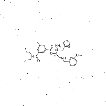 CCCN(CCC)C(=O)c1cc(C)cc(C(=O)O[C@H](CNCc2cccc(OC)c2)[C@@H](N)Cc2cccs2)c1